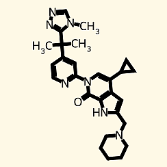 Cn1cnnc1C(C)(C)c1ccnc(-n2cc(C3CC3)c3cc(CN4CCCCC4)[nH]c3c2=O)c1